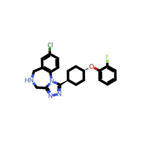 Fc1ccccc1O[C@H]1CC[C@H](c2nnc3n2-c2ccc(Cl)cc2CNC3)CC1